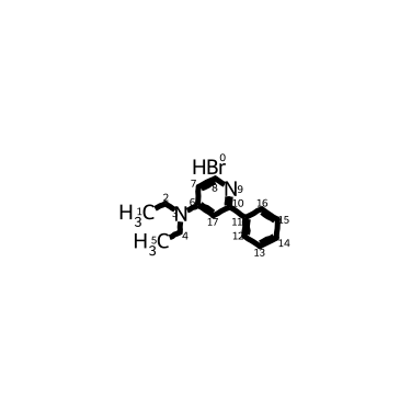 Br.CCN(CC)c1ccnc(-c2ccccc2)c1